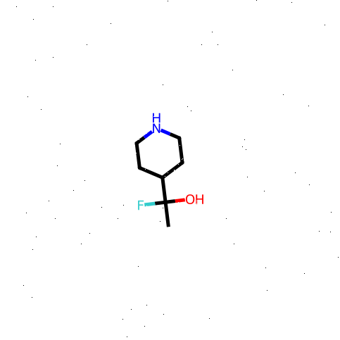 CC(O)(F)C1CCNCC1